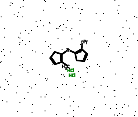 CCCC1=[C]([Zr][C]2=C(C)C=CC2)CC=C1.Cl.Cl